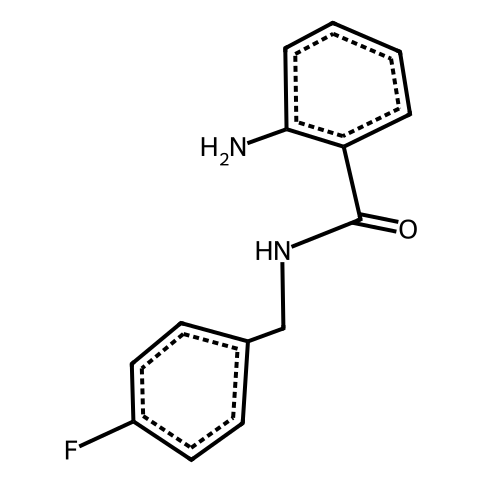 Nc1ccccc1C(=O)NCc1ccc(F)cc1